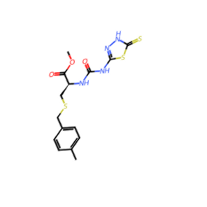 COC(=O)[C@H](CSCc1ccc(C)cc1)NC(=O)Nc1n[nH]c(=S)s1